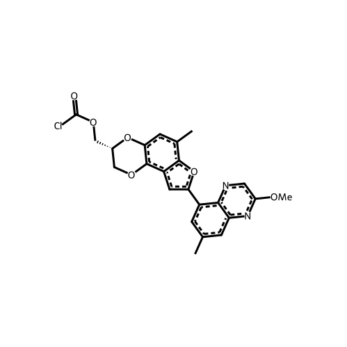 COc1cnc2c(-c3cc4c5c(cc(C)c4o3)O[C@@H](COC(=O)Cl)CO5)cc(C)cc2n1